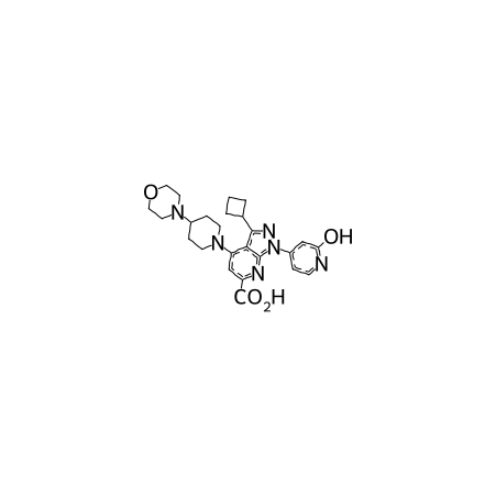 O=C(O)c1cc(N2CCC(N3CCOCC3)CC2)c2c(C3CCC3)nn(-c3ccnc(O)c3)c2n1